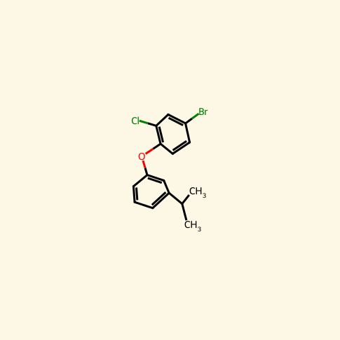 CC(C)c1cccc(Oc2ccc(Br)cc2Cl)c1